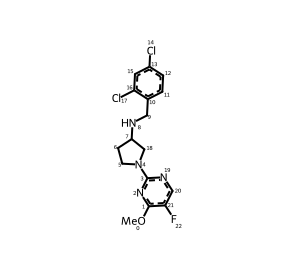 COc1nc(N2CCC(NCc3ccc(Cl)cc3Cl)C2)ncc1F